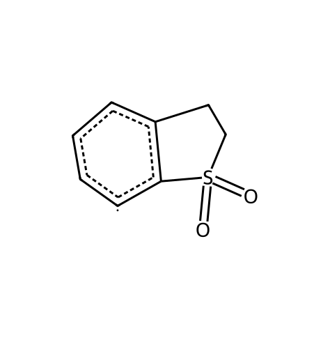 O=S1(=O)CCc2ccc[c]c21